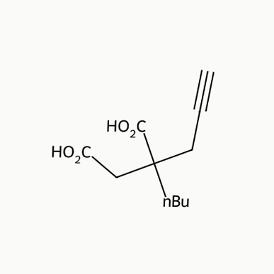 C#CCC(CCCC)(CC(=O)O)C(=O)O